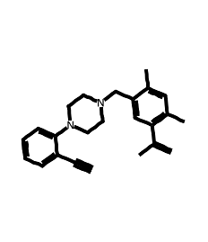 C#Cc1ccccc1N1CCN(Cc2cc(C(=C)C)c(C)cc2C)CC1